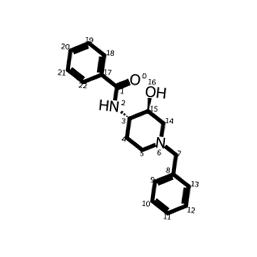 O=C(N[C@H]1CCN(Cc2ccccc2)C[C@@H]1O)c1ccccc1